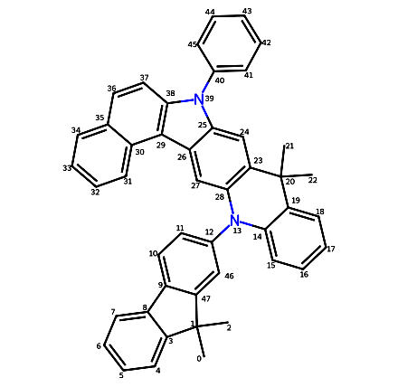 CC1(C)c2ccccc2-c2ccc(N3c4ccccc4C(C)(C)c4cc5c(cc43)c3c4ccccc4ccc3n5-c3ccccc3)cc21